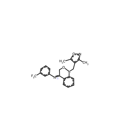 Cc1noc(C)c1CN1OC/C(=N\c2cccc(C(F)(F)F)c2)c2ccccc21